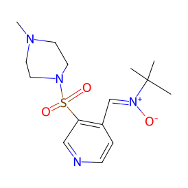 CN1CCN(S(=O)(=O)c2cnccc2/C=[N+](\[O-])C(C)(C)C)CC1